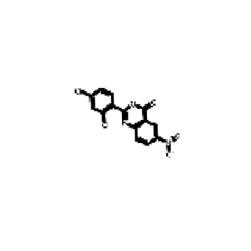 O=c1oc(-c2ccc(Cl)cc2Cl)nc2ccc([N+](=O)[O-])cc12